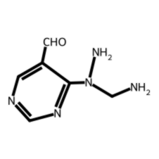 NCN(N)c1ncncc1C=O